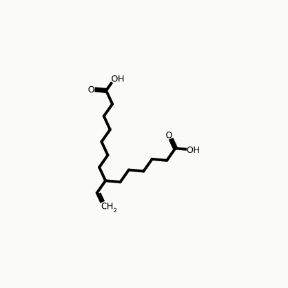 C=CC(CCCCCCC(=O)O)CCCCCC(=O)O